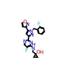 OC1(CNc2nc(-c3cc(-c4ccon4)n(Cc4ccccc4F)n3)ncc2F)CC1